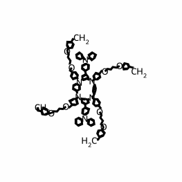 C=Cc1ccc(OCCCCOCc2ccc(-n3c4ccc(cc4)n(-c4ccc(COCCCCOc5ccc(C=C)cc5)cc4)c4cc(-c5ccc(N(c6ccccc6)c6ccccc6)cc5)cc(c4)n(-c4ccc(COCCCCOc5ccc(C=C)cc5)cc4)c4ccc(cc4)n(-c4ccc(COCCCCOc5ccc(C=C)cc5)cc4)c4cc(-c5ccc(N(c6ccccc6)c6ccccc6)cc5)cc3c4)cc2)cc1